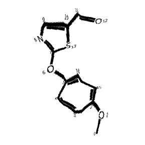 COc1ccc(Oc2ncc(C=O)s2)cc1